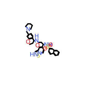 O=C(CC(NS(=O)(=O)c1ccc2ccccc2c1)C1=CC2=CNSN2C=C1)NC1CCOc2cc(CN3CCCCC3)ccc21